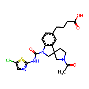 CC(=O)N1CCC2(C1)CN(C(=O)Nc1ncc(Cl)s1)c1ccc(CCCC(=O)O)cc12